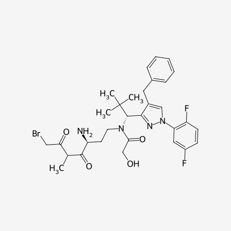 CC(C(=O)CBr)C(=O)[C@@H](N)CCN(C(=O)CO)[C@@H](c1nn(-c2cc(F)ccc2F)cc1Cc1ccccc1)C(C)(C)C